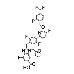 O=C(O)c1cc(F)c2nc(Cc3cc(F)c(-c4ccc(F)c(OCc5ccc(C(F)F)cc5F)n4)cc3F)n(CC34CC(CO3)C4)c2c1